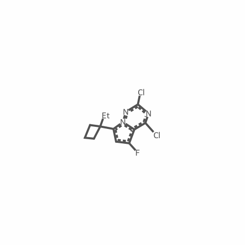 CCC1(c2cc(F)c3c(Cl)nc(Cl)nn23)CCC1